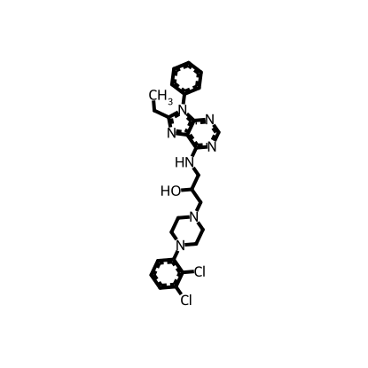 CCc1nc2c(NCC(O)CN3CCN(c4cccc(Cl)c4Cl)CC3)ncnc2n1-c1ccccc1